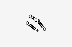 [B]=O.[O]=[Ge]=[O]